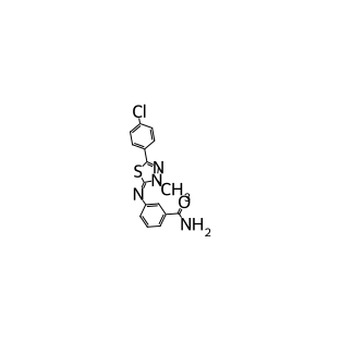 Cn1nc(-c2ccc(Cl)cc2)s/c1=N/c1cccc(C(N)=O)c1